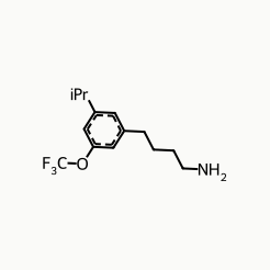 CC(C)c1cc(CCCCN)cc(OC(F)(F)F)c1